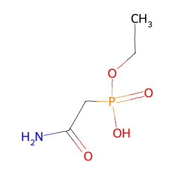 CCOP(=O)(O)CC(N)=O